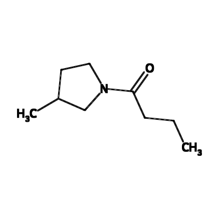 CCCC(=O)N1CCC(C)C1